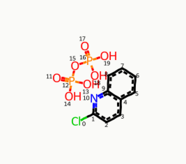 Clc1ccc2ccccc2n1.O=P(O)(O)OP(=O)(O)O